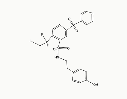 O=S(=O)(NCCc1ccc(O)cc1)c1cc(S(=O)(=O)c2ccccc2)ccc1C(F)(F)CF